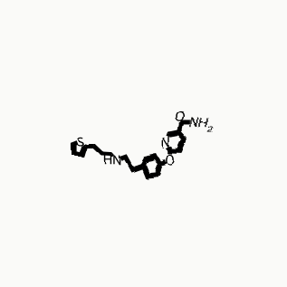 NC(=O)c1ccc(Oc2ccc(CCNCCCc3cccs3)cc2)nc1